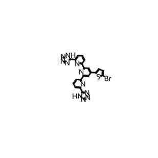 Brc1ccc(-c2cc(-c3cccc(-c4nnn[nH]4)n3)nc(-c3cccc(-c4nnn[nH]4)n3)c2)s1